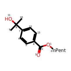 CCCCCOC(=O)c1ccc(C(C)(C)O)cc1